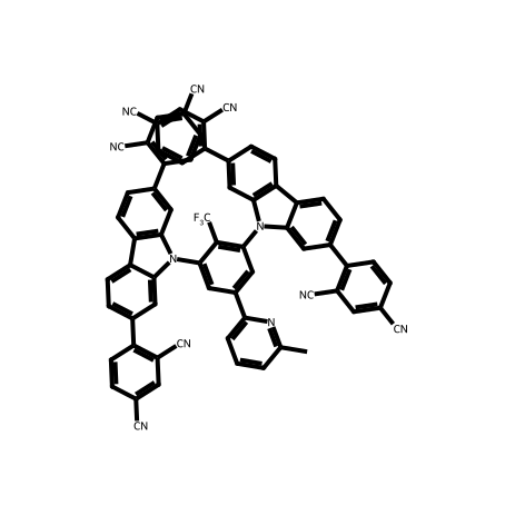 Cc1cccc(-c2cc(-n3c4cc(-c5ccc(C#N)cc5C#N)ccc4c4ccc(-c5ccc(C#N)cc5C#N)cc43)c(C(F)(F)F)c(-n3c4cc(-c5ccc(C#N)cc5C#N)ccc4c4ccc(-c5ccc(C#N)cc5C#N)cc43)c2)n1